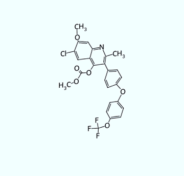 COC(=O)Oc1c(-c2ccc(Oc3ccc(OC(F)(F)F)cc3)cc2)c(C)nc2cc(OC)c(Cl)cc12